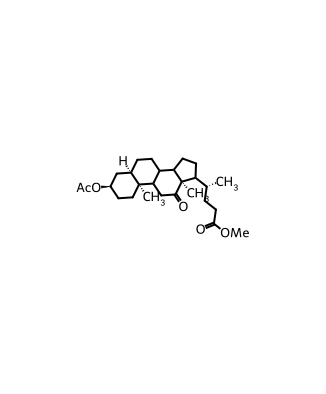 COC(=O)CC[C@@H](C)C1CCC2C3CC[C@@H]4C[C@H](OC(C)=O)CC[C@]4(C)C3CC(=O)[C@@]21C